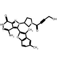 Cc1ccc2oc(-c3c4c(N)n[nH]c(=O)c4nn3C3CCN(C(=O)C#CCO)C3)c(C)c2c1